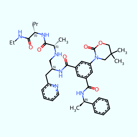 CCNC(=O)[C@@H](NC(=O)[C@H](C)NC[C@H](Cc1ccccn1)NC(=O)c1cc(C(=O)N[C@H](C)c2ccccc2)cc(N2CC(C)(C)COC2=O)c1)C(C)C